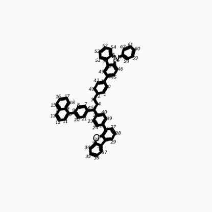 C1=CC(CCC(c2ccc(-c3cccc4ccccc34)cc2)c2ccc(-c3cccc4c3oc3ccccc34)cc2)CC=C1c1ccc2c(c1)c1ccccc1n2-c1ccccc1